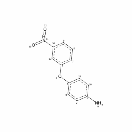 Nc1ccc(Oc2cccc([SH](=O)=O)c2)cc1